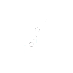 CC=CCCCc1ccc(-c2ccc(-c3ccc(OC(F)F)cc3)c(F)c2)cc1